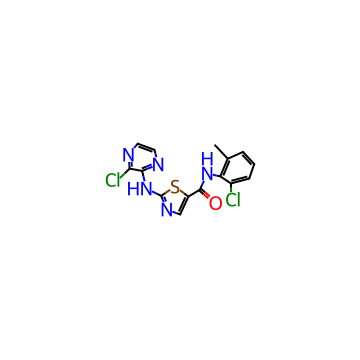 Cc1cccc(Cl)c1NC(=O)c1cnc(Nc2nccnc2Cl)s1